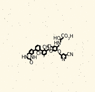 Cc1c(COc2cc(OCc3cncc(C#N)c3)c(CNC[C@@H](O)CC(=O)O)cc2Cl)cccc1-c1cccc(-c2ccc3c(c2)NC(=O)CNC3)c1C